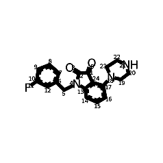 O=C1C(=O)N(Cc2cccc(F)c2)c2cccc(N3CCNCC3)c21